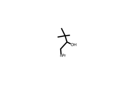 C[CH]CCC(O)C(C)(C)C